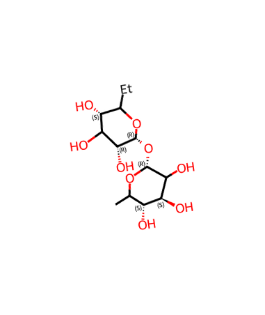 CCC1O[C@H](O[C@H]2OC(C)[C@@H](O)[C@H](O)C2O)[C@H](O)C(O)[C@@H]1O